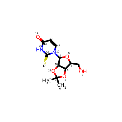 CC1(C)OC2C(CO)OC(n3ccc(=O)[nH]c3=S)C2O1